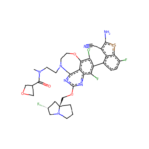 CN(CCN1CCOc2c(Cl)c(-c3ccc(F)c4sc(N)c(C#N)c34)c(F)c3nc(OC[C@@]45CCCN4C[C@H](F)C5)nc1c23)C(=O)C1COC1